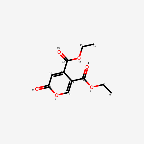 CCOC(=O)c1coc(=O)cc1C(=O)OCC